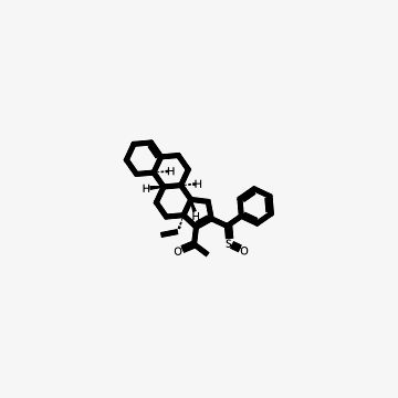 CC[C@]12CC[C@H]3[C@@H](CCC4=CCCC[C@@H]43)[C@@H]1CC(C(=S=O)c1ccccc1)=C2C(C)=O